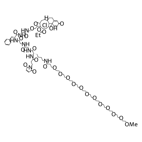 CCC(=O)O[C@@]1(C(=O)COCNC(=O)CNC(=O)[C@H](Cc2ccccc2)NC(=O)CNC(=O)CNC(=O)[C@H](CCCCNC(=O)CCOCCOCCOCCOCCOCCOCCOCCOCCOCCOCCOCCOC)NC(=O)CCN2C(=O)C=CC2=O)CC[C@H](O)[C@@]2(Cl)[C@@H](CCC3=CC(=O)C=C[C@@]32C)[C@@H](C)C[C@@H]1C